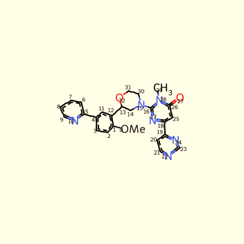 COc1ccc(-c2ccccn2)cc1C1CN(c2nc(-c3ccncn3)cc(=O)n2C)CCO1